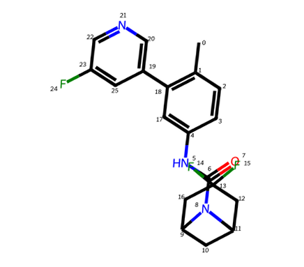 Cc1ccc(NC(=O)N2C3CC2CC(F)(F)C3)cc1-c1cncc(F)c1